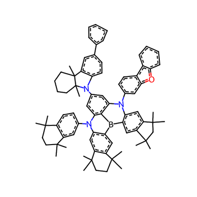 CC1(C)CCC(C)(C)c2cc(N3c4cc5c(cc4B4c6cc7c(cc6N(c6ccc8c(c6)oc6ccccc68)c6cc(N8c9ccc(-c%10ccccc%10)cc9C9(C)CCCCC89C)cc3c64)C(C)(C)CC7(C)C)C(C)(C)CCC5(C)C)ccc21